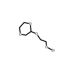 CCOCCOC1COCCO1